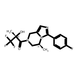 C[C@H]1CN(C(=O)[C@@](C)(O)C(F)(F)F)Cc2cnc(-c3ccc(F)cc3)n21